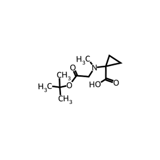 CN(CC(=O)OC(C)(C)C)C1(C(=O)O)CC1